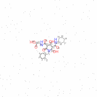 Cc1ccccc1Cn1c(O)c(C(=O)NC2CCCCC2)c(O)c(C(=O)NCC(=O)O)c1=O